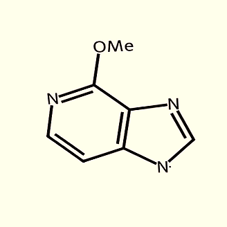 COc1nccc2c1N=C[N]2